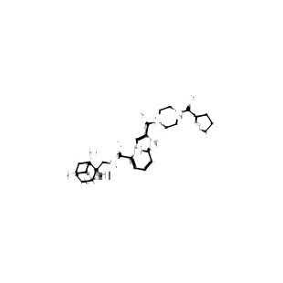 CC1(C)[C@H]2CC[C@@H](CNC(=O)c3cccc4nc(C(=O)N5CCN(C(=O)C6CCCO6)CC5)cn34)[C@H]1C2